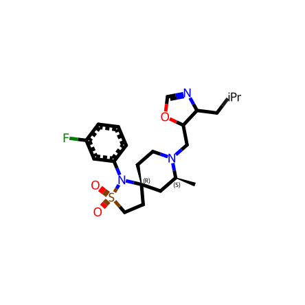 CC(C)CC1N=COC1CN1CC[C@]2(CCS(=O)(=O)N2c2cccc(F)c2)C[C@@H]1C